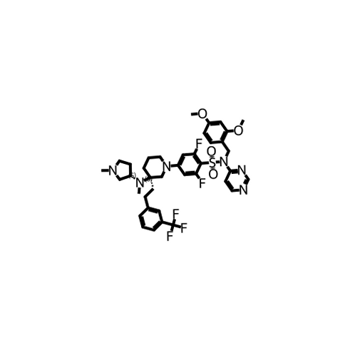 COc1ccc(CN(c2ccncn2)S(=O)(=O)c2c(F)cc(N3CCC[C@](CCc4cccc(C(F)(F)F)c4)(N(C)[C@H]4CCN(C)C4)C3)cc2F)c(OC)c1